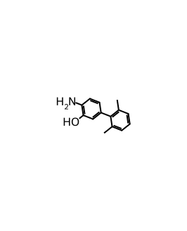 Cc1cccc(C)c1-c1ccc(N)c(O)c1